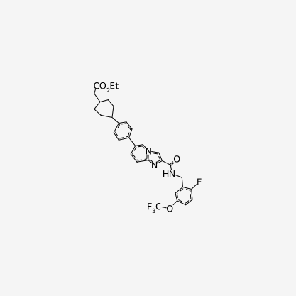 CCOC(=O)CC1CCC(c2ccc(-c3ccc4nc(C(=O)NCc5cc(OC(F)(F)F)ccc5F)cn4c3)cc2)CC1